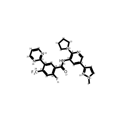 Cn1ccc(-c2cnc(N3CCCC3)c(NC(=O)c3cc(-c4ncccn4)c(C(F)(F)F)cc3F)c2)n1